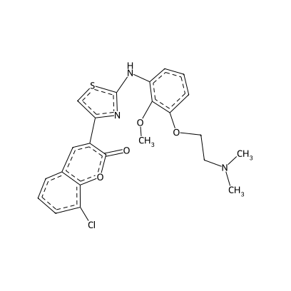 COc1c(Nc2nc(-c3cc4cccc(Cl)c4oc3=O)cs2)cccc1OCCN(C)C